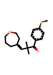 CSc1ccc(C(=O)C(C)(C)/C=C2/CCCOCC2)cc1